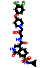 O=C(NC[C@@H](O)CN1CCC(Oc2ccc(Cl)c(Cl)c2)CC1)c1c[nH]c(=O)c2cc(S(=O)(=O)NC3CC3)ccc12